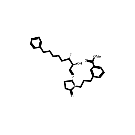 COC(=O)c1cccc(CCCN2C(=O)CC[C@@H]2C=C[C@H](O)[C@@H](C)CCCCCc2ccccc2)c1